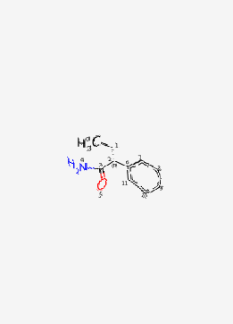 CC[C@@H](C(N)=O)c1ccccc1